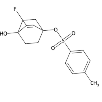 Cc1ccc(S(=O)(=O)OC23C=C(F)C(O)(CC2)CC3)cc1